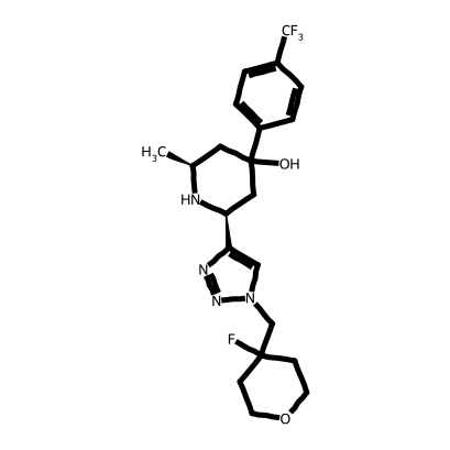 C[C@H]1CC(O)(c2ccc(C(F)(F)F)cc2)C[C@@H](c2cn(CC3(F)CCOCC3)nn2)N1